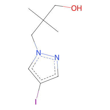 CC(C)(CO)Cn1cc(I)cn1